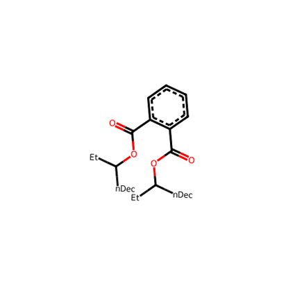 CCCCCCCCCCC(CC)OC(=O)c1ccccc1C(=O)OC(CC)CCCCCCCCCC